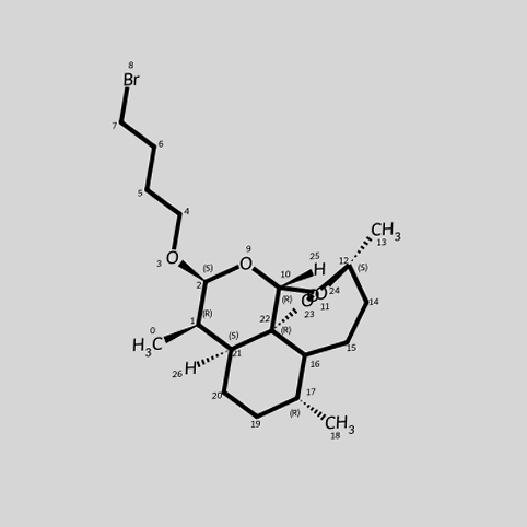 C[C@H]1[C@@H](OCCCCBr)O[C@@H]2O[C@]3(C)CCC4[C@H](C)CC[C@@H]1[C@]42OO3